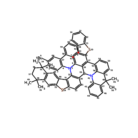 CC(C)(C)c1ccc(N2c3cc4c(sc5ccccc54)c4c3B(c3ccc5sc6cc7c(cc6c5c32)C(C)(C)CCC7(C)C)N2c3ccccc3C(C)(C)c3cccc-4c32)c(-c2ccccc2)c1